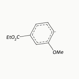 CCOC(=O)c1cc[c]c(OC)c1